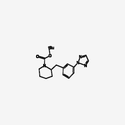 CC(C)(C)OC(=O)N1CCCCC1Cc1cccc(-n2nccn2)c1